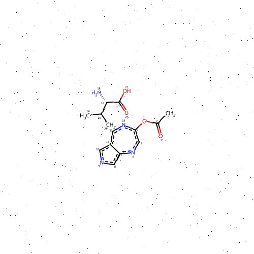 CC(=O)Oc1cnc2cncc-2cn1.CC(C)[C@H](N)C(=O)O